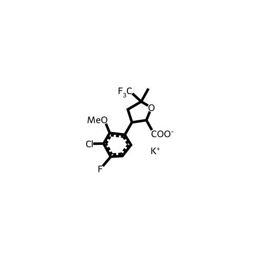 COc1c(C2CC(C)(C(F)(F)F)OC2C(=O)[O-])ccc(F)c1Cl.[K+]